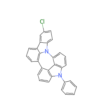 Clc1ccc2c(c1)c1cccc3c4cccc5c4c4c(cccc4n2c31)n5-c1ccccc1